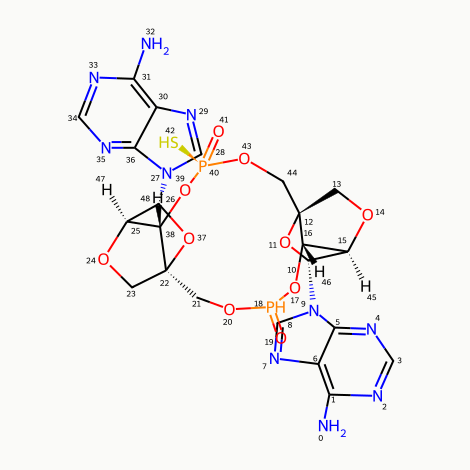 Nc1ncnc2c1ncn2[C@@H]1O[C@@]23CO[C@@H]1[C@@H]2O[PH](=O)OC[C@@]12CO[C@@H]([C@H](n4cnc5c(N)ncnc54)O1)[C@@H]2O[P@@](=O)(S)OC3